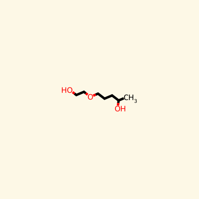 CC(O)CCCOCCO